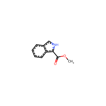 COC(=O)c1[nH]cc2ccccc12